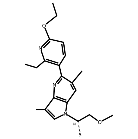 CCOc1ccc(-c2nc3c(C)cn([C@@H](C)COC)c3cc2C)c(CC)n1